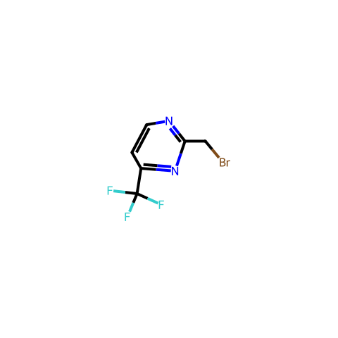 FC(F)(F)c1ccnc(CBr)n1